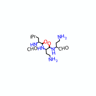 CC(C)CC(NC=O)C(=O)NC(CCN)C(=O)NC(C=O)CCN